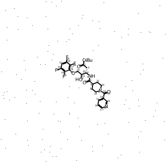 CC(C)COC(=O)C[C@H](NC(=O)C1CCN(C(=O)c2cccnc2)CC1)C(O)COc1c(F)c(F)cc(F)c1F